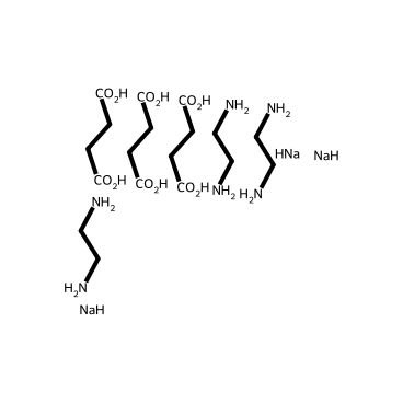 NCCN.NCCN.NCCN.O=C(O)CCC(=O)O.O=C(O)CCC(=O)O.O=C(O)CCC(=O)O.[NaH].[NaH].[NaH]